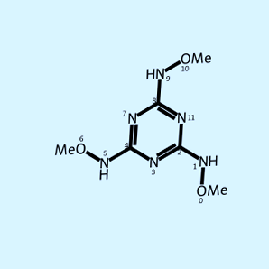 CONc1nc(NOC)nc(NOC)n1